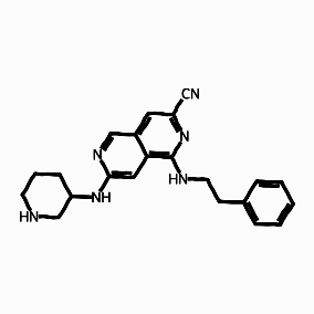 N#Cc1cc2cnc(NC3CCCNC3)cc2c(NCCc2ccccc2)n1